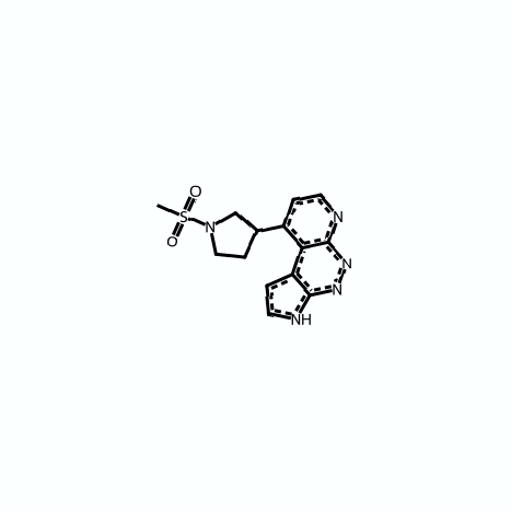 CS(=O)(=O)N1CCC(c2ccnc3nnc4[nH]ccc4c23)C1